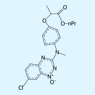 CCCOC(=O)C(C)Oc1ccc(N(C)c2nc3ccc(Cl)cc3[n+]([O-])n2)cc1